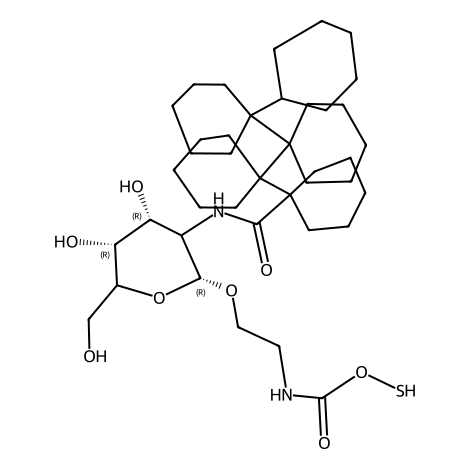 O=C(NCCO[C@@H]1OC(CO)[C@H](O)[C@H](O)C1NC(=O)C1(C2(C3(C4(C5CCCCC5)CCCCC4)CCCCC3)CCCCC2)CCCCC1)OS